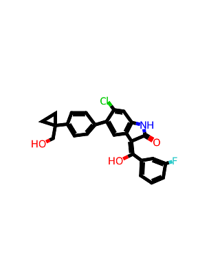 O=C1Nc2cc(Cl)c(-c3ccc(C4(CO)CC4)cc3)cc2C1=C(O)c1cccc(F)c1